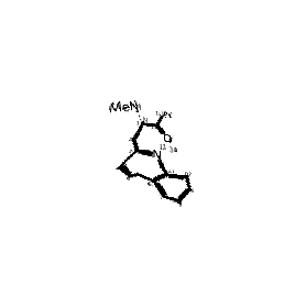 CN[C@@H](Cc1ccc2ccccc2n1)C(=O)C(C)C